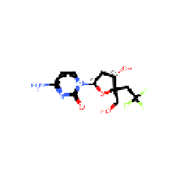 Nc1ccn([C@H]2C[C@H](O)C(CO)(CC(F)(F)F)O2)c(=O)n1